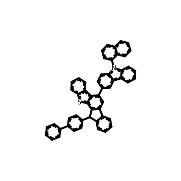 c1ccc(-c2ccc(C3c4ccccc4-c4cc(-c5ccc6c(c5)c5ccccc5n6-c5cccc6ccccc56)c5c(sc6ccccc65)c43)cc2)cc1